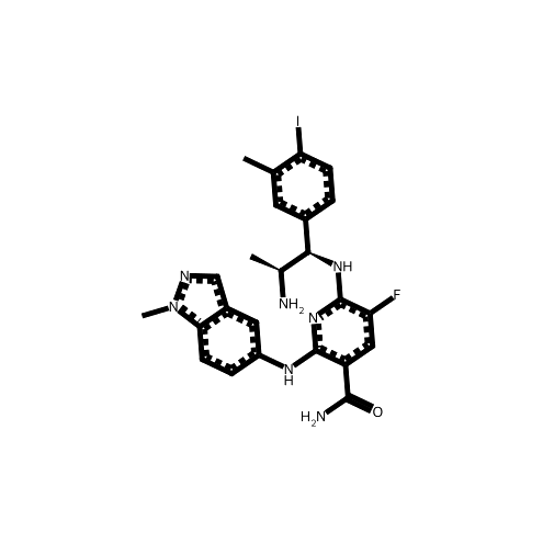 Cc1cc([C@@H](Nc2nc(Nc3ccc4c(cnn4C)c3)c(C(N)=O)cc2F)[C@H](C)N)ccc1I